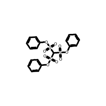 O=S(=O)(Oc1ccccc1)C(S(=O)(=O)Oc1ccccc1)S(=O)(=O)Oc1ccccc1